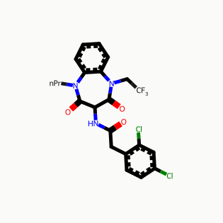 CCCN1C(=O)C(NC(=O)Cc2ccc(Cl)cc2Cl)C(=O)N(CC(F)(F)F)c2ccccc21